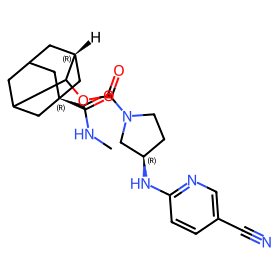 CNC(=O)[C@]12CC3CC(C1)C(OC(=O)N1CC[C@@H](Nc4ccc(C#N)cn4)C1)[C@H](C3)C2